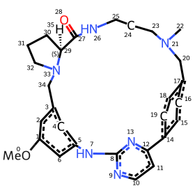 COc1cc2cc(c1)Nc1nccc(n1)-c1ccc(cc1)CN(C)CCCNC(=O)[C@@H]1CCCN1C2